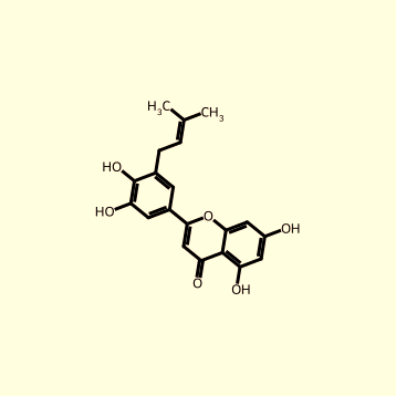 CC(C)=CCc1cc(-c2cc(=O)c3c(O)cc(O)cc3o2)cc(O)c1O